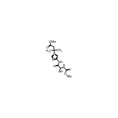 CCCC(NC(=O)OC(C)(C)C)C(=O)Nc1cn(C(C)(C)CC(=O)OC)cn1